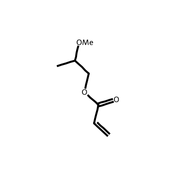 C=CC(=O)OCC(C)OC